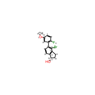 COc1ccc(F)c(-c2ccc3c(c2Br)CC[C@@H]3O)c1